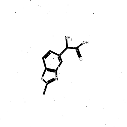 Cc1nc2cc(C(N)C(=O)O)ccc2s1